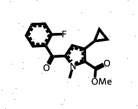 COC(=O)c1c(C2CC2)cc(C(=O)c2ccccc2F)n1C